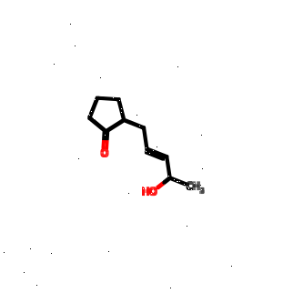 CC(O)C=CCC1CCCC1=O